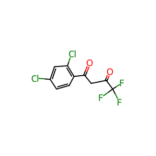 O=C(CC(=O)C(F)(F)F)c1ccc(Cl)cc1Cl